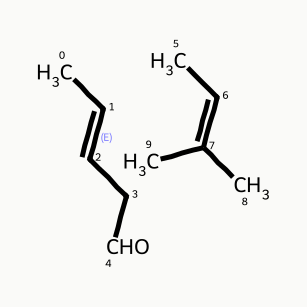 C/C=C/CC=O.CC=C(C)C